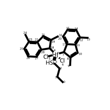 CCC[SiH]=[Hf]([Cl])([Cl])([CH]1C(C)=Cc2c(C)cccc21)[CH]1C(C)=Cc2c(C)cccc21